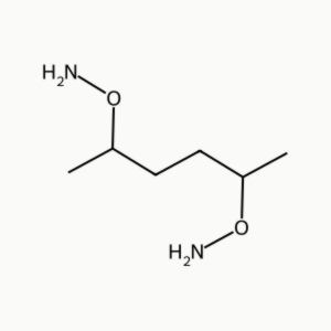 CC(CCC(C)ON)ON